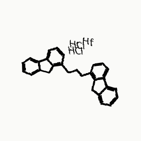 Cl.Cl.[Hf].c1ccc2c(c1)Cc1c(CCCc3cccc4c3Cc3ccccc3-4)cccc1-2